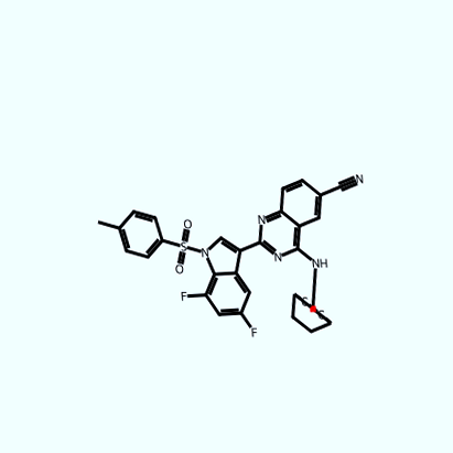 Cc1ccc(S(=O)(=O)n2cc(-c3nc(NC4CC5CCC4CC5)c4cc(C#N)ccc4n3)c3cc(F)cc(F)c32)cc1